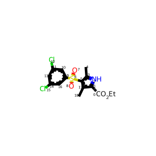 CCOC(=O)c1[nH]c(C)c(S(=O)(=O)c2cc(Cl)cc(Cl)c2)c1C